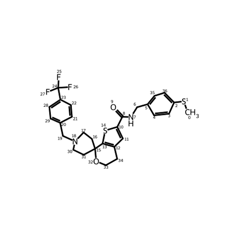 CSc1ccc(CNC(=O)c2cc3c(s2)C2(CCN(Cc4ccc(C(F)(F)F)cc4)CC2)OCC3)cc1